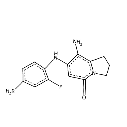 Bc1ccc(Nc2cc(=O)n3c(c2N)CCC3)c(F)c1